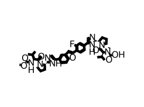 COC(=O)N[C@H](C(=O)N1CCC[C@H]1c1ncc(-c2ccc3oc(-c4ccc(-c5cnc([C@@H]6CCCN6C(=O)[C@H](C(C)C)N(C)C(=O)O)[nH]5)cc4F)cc3c2)[nH]1)C(C)C